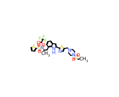 CCS(=O)(=O)N1CCN(Cc2cnc(-c3cc4cccc(CC(C)N(OC(=O)C(F)(F)F)S(=O)(=O)c5cccs5)c4[nH]3)s2)CC1